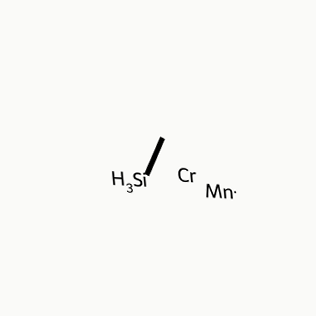 C[SiH3].[Cr].[Mn]